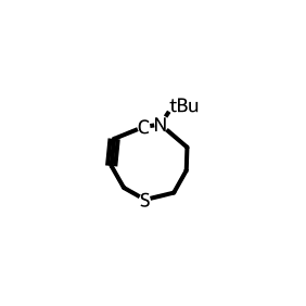 CC(C)(C)N1CC#CCSCCC1